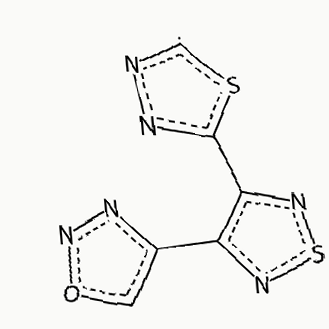 [c]1nnc(-c2nsnc2-c2conn2)s1